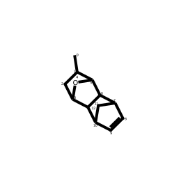 CC1CC2OC1C1C3C=CC(C3)C21